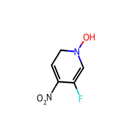 O=[N+]([O-])C1=CCN(O)C=C1F